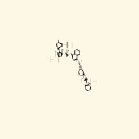 Cc1ccc(-n2nc(C(C)(C)C)cc2NC(=O)Nc2ccc(OCCN3CCOC(OC(=O)Nc4ccccc4)C3)c3ccccc23)cc1